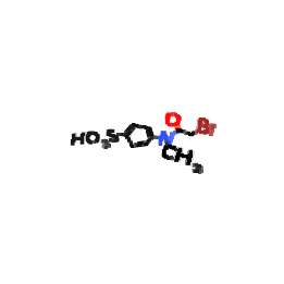 CN(C(=O)CBr)c1ccc(S(=O)(=O)O)cc1